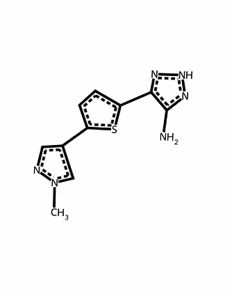 Cn1cc(-c2ccc(-c3n[nH]nc3N)s2)cn1